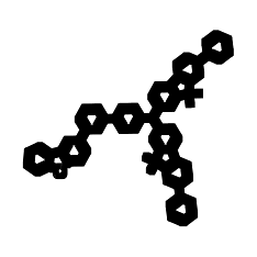 CC1(C)c2cc(-c3ccccc3)ccc2-c2ccc(C(c3ccc(-c4cccc(-c5ccc6oc7ccccc7c6c5)c4)cc3)c3ccc4c(c3)C(C)(C)c3cc(-c5ccccc5)ccc3-4)cc21